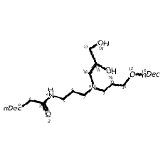 CCCCCCCCCCCC(=O)NCCCN(CCCOCCCCCCCCCC)CC(O)CO